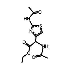 CCOC(=O)C(NC(C)=O)c1csc(NC(C)=O)n1